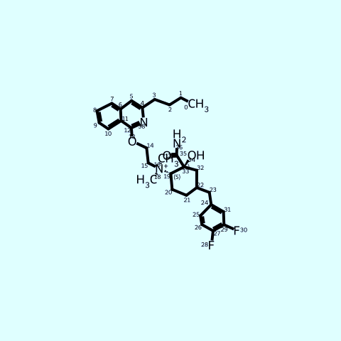 CCCCc1cc2ccccc2c(OCC[N+](C)(C)[C@H]2CCC(Cc3ccc(F)c(F)c3)C[C@@]2(O)C(N)=O)n1